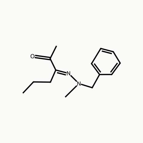 CCC/C(=N\N(C)Cc1ccccc1)C(C)=O